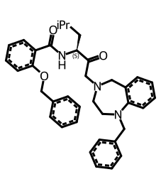 CC(C)C[C@H](NC(=O)c1ccccc1OCc1ccccc1)C(=O)CN1CCN(Cc2ccccc2)c2ccccc2C1